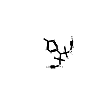 Cc1ccc(C(C(C)(C)OC#N)C(C)(C)OC#N)cc1